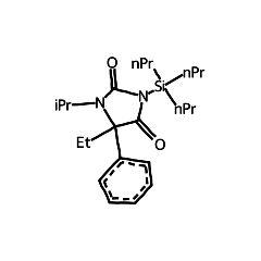 CCC[Si](CCC)(CCC)N1C(=O)N(C(C)C)C(CC)(c2ccccc2)C1=O